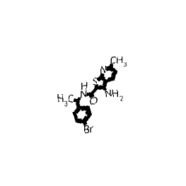 Cc1ccc2c(N)c(C(=O)NC(C)c3ccc(Br)cc3)sc2n1